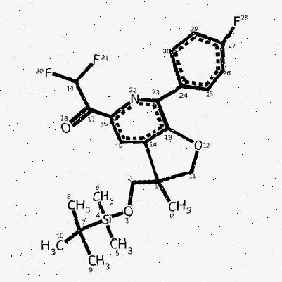 CC1(CO[Si](C)(C)C(C)(C)C)COc2c1cc(C(=O)C(F)F)nc2-c1ccc(F)cc1